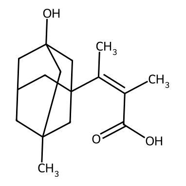 CC(C(=O)O)=C(C)C12CC3CC(C)(CC(O)(C3)C1)C2